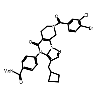 CNC(=O)c1ccc(-n2c(=O)c3c(n4ncc(CC5CCC5)c24)CN(C(=O)c2ccc(Br)c(Cl)c2)CC3)cc1